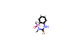 CN1C(=S)Nc2ccccc2P1(C)=O